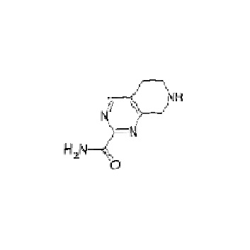 NC(=O)c1n[c]c2c(n1)CNCC2